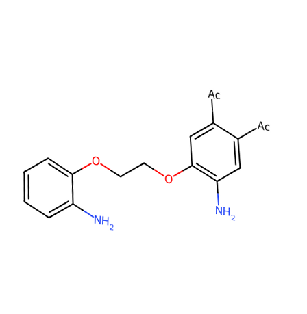 CC(=O)c1cc(N)c(OCCOc2ccccc2N)cc1C(C)=O